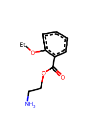 CCOc1ccccc1C(=O)OCCN